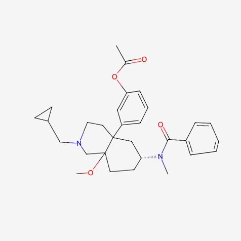 COC12CC[C@@H](N(C)C(=O)c3ccccc3)CC1(c1cccc(OC(C)=O)c1)CCN(CC1CC1)C2